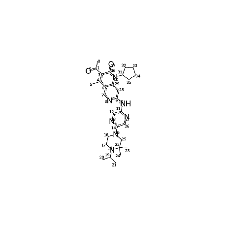 CC(=O)c1c(C)c2cnc(Nc3cnc(N4CCN(C(C)C)C(C)(C)C4)cn3)cc2n(C2CCCC2)c1=O